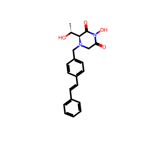 C[C@@H](O)[C@H]1C(=O)N(O)C(=O)CN1Cc1ccc(/C=C/c2ccccc2)cc1